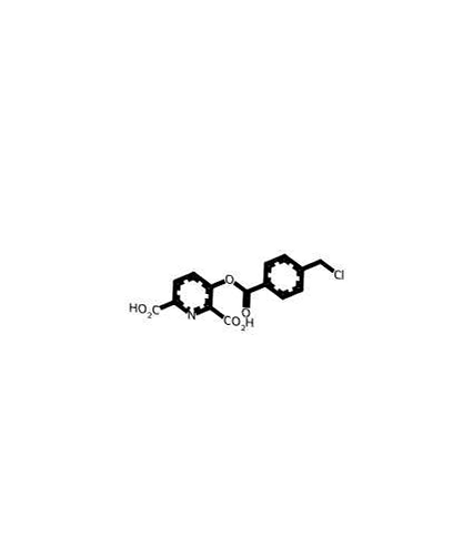 O=C(Oc1ccc(C(=O)O)nc1C(=O)O)c1ccc(CCl)cc1